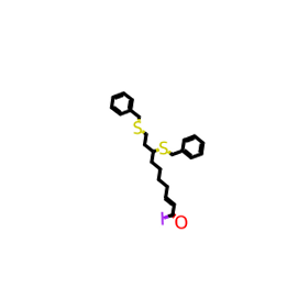 O=C(I)/C=C/CCCCC(CCSCc1ccccc1)SCc1ccccc1